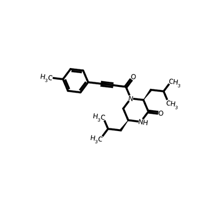 Cc1ccc(C#CC(=O)N2C[C@H](CC(C)C)NC(=O)[C@@H]2CC(C)C)cc1